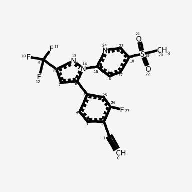 C#Cc1ccc(-c2cc(C(F)(F)F)nn2-c2ccc(S(C)(=O)=O)cn2)cc1F